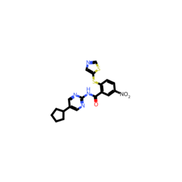 O=C(Nc1ncc(C2CCCC2)cn1)c1cc([N+](=O)[O-])ccc1Sc1cncs1